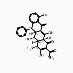 NC(=O)C1=C(O)[C@@H](N)[C@@H]2[C@@H](O)[C@H]3C(=C(O)[C@]2(O)C1=O)C(=O)c1c(O)cccc1[C@@H]3c1ccccc1